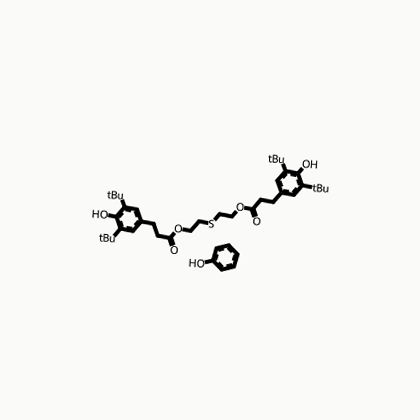 CC(C)(C)c1cc(CCC(=O)OCCSCCOC(=O)CCc2cc(C(C)(C)C)c(O)c(C(C)(C)C)c2)cc(C(C)(C)C)c1O.Oc1ccccc1